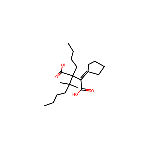 CCCCC(C)(C)C(CCCC)(C(=O)O)C(C(=O)O)=C1CCCC1